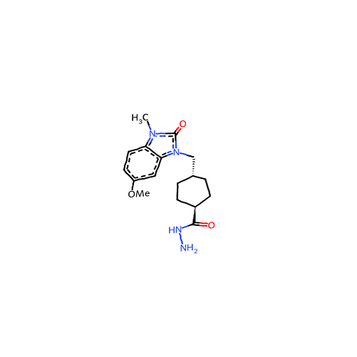 COc1ccc2c(c1)n(C[C@H]1CC[C@H](C(=O)NN)CC1)c(=O)n2C